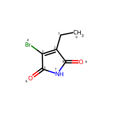 CCC1=C(Br)C(=O)NC1=O